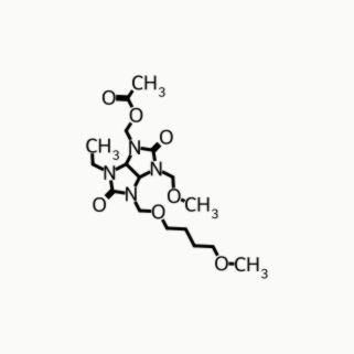 CCN1C(=O)N(COCCCCOC)C2C1N(COC(C)=O)C(=O)N2COC